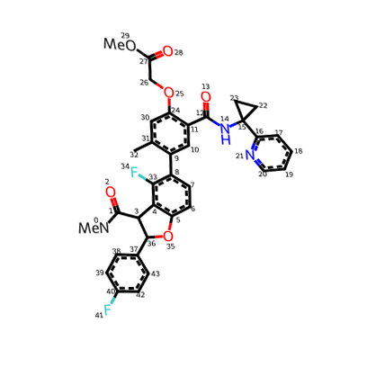 CNC(=O)C1c2c(ccc(-c3cc(C(=O)NC4(c5ccccn5)CC4)c(OCC(=O)OC)cc3C)c2F)OC1c1ccc(F)cc1